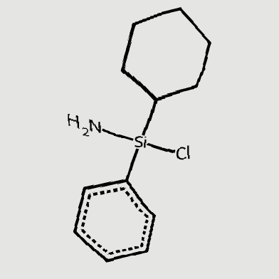 N[Si](Cl)(c1ccccc1)C1CCCCC1